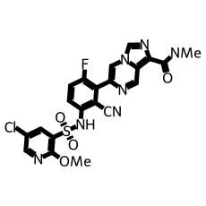 CNC(=O)c1ncn2cc(-c3c(F)ccc(NS(=O)(=O)c4cc(Cl)cnc4OC)c3C#N)ncc12